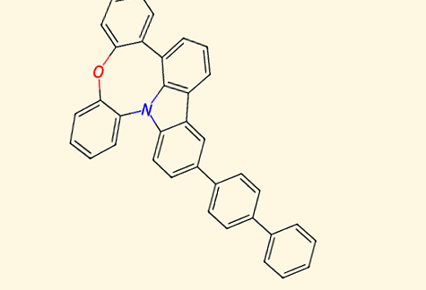 c1ccc(-c2ccc(-c3ccc4c(c3)c3cccc5c6ccccc6oc6ccccc6n4c53)cc2)cc1